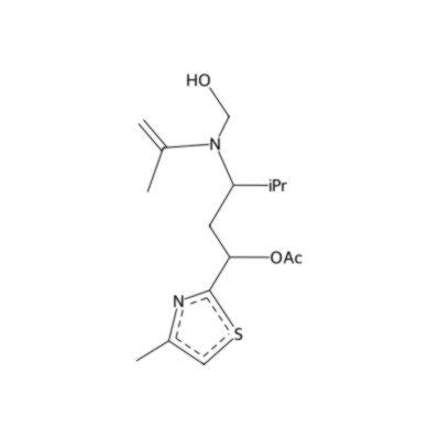 C=C(C)N(CO)C(CC(OC(C)=O)c1nc(C)cs1)C(C)C